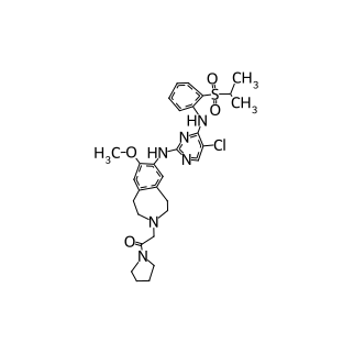 COc1cc2c(cc1Nc1ncc(Cl)c(Nc3ccccc3S(=O)(=O)C(C)C)n1)CCN(CC(=O)N1CCCC1)CC2